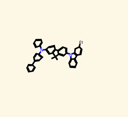 CCC1C=Cc2c(n(-c3ccc4c(c3)C(C)(C)c3cc(N(c5ccccc5)c5ccc(-c6ccccc6)cc5)ccc3-4)c3ccccc23)C1